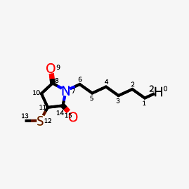 [2H]CCCCCCN1C(=O)CC(SC)C1=O